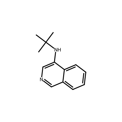 CC(C)(C)Nc1cncc2ccccc12